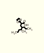 CCCC(C)C(CCC)CC(C(=O)O)c1ncco1